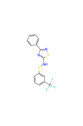 FC(F)(F)c1cccc(SNc2nc(-c3ccccc3)ns2)c1